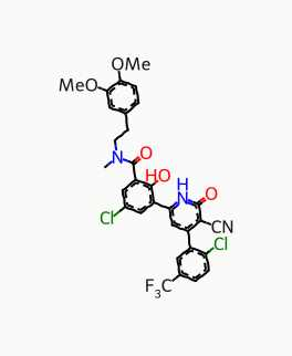 COc1ccc(CCN(C)C(=O)c2cc(Cl)cc(-c3cc(-c4cc(C(F)(F)F)ccc4Cl)c(C#N)c(=O)[nH]3)c2O)cc1OC